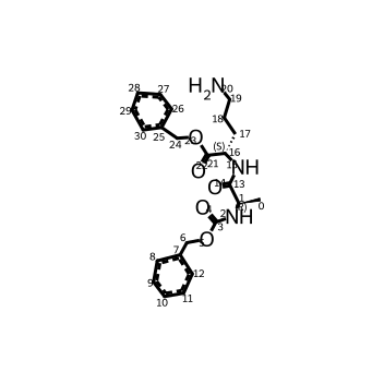 C[C@@H](NC(=O)OCc1ccccc1)C(=O)N[C@@H](CCCN)C(=O)OCc1ccccc1